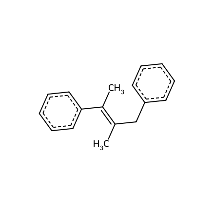 CC(Cc1ccccc1)=C(C)c1ccccc1